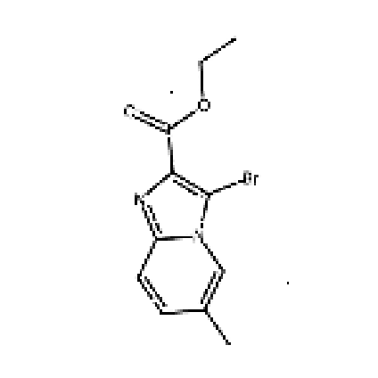 CCOC(=O)c1nc2ccc(C)cn2c1Br